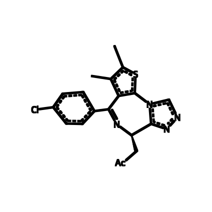 CC(=O)C[C@H]1N=C(c2ccc(Cl)cc2)c2c(sc(C)c2C)-n2cnnc21